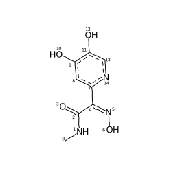 CNC(=O)C(=NO)c1cc(O)c(O)cn1